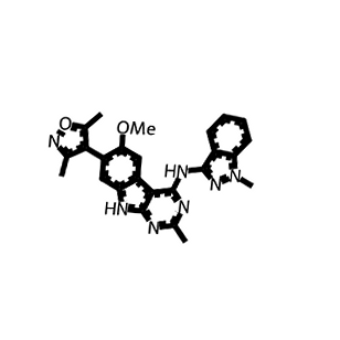 COc1cc2c(cc1-c1c(C)noc1C)[nH]c1nc(C)nc(Nc3nn(C)c4ccccc34)c12